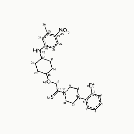 CCc1ccccc1N1CCN(C(=S)COC2CCC(Nc3ccc([N+](=O)[O-])c(C)c3)CC2)CC1